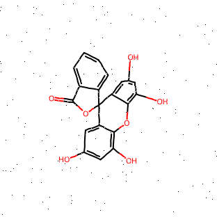 O=C1OC2(c3ccccc31)c1cc(O)cc(O)c1Oc1c(O)cc(O)cc12